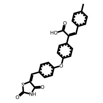 Cc1ccc(/C=C(\C(=O)O)c2ccc(Oc3ccc(/C=C4/SC(=O)NC4=O)cc3)cc2)cc1